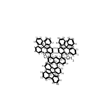 CN1c2ccccc2C(c2ccccc2)(c2ccccc2)c2cccc(-c3cccc4c(-c5cccc6c5-c5ccccc5C65c6ccccc6-c6ccccc65)c5cccc(-c6cccc7c6N(C)c6ccccc6C7(c6ccccc6)c6ccccc6)c5cc34)c21